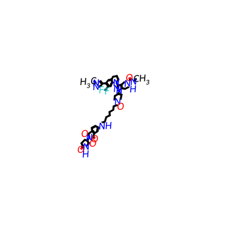 CNC(=O)N1CCc2c(c(N3CCCc4cc(-c5cnn(C)c5)c(C(F)F)cc43)nn2C2CCN(C(=O)CCCCCCCNc3ccc4c(c3)C(=O)N(C3CCC(=O)NC3=O)C4=O)CC2)C1